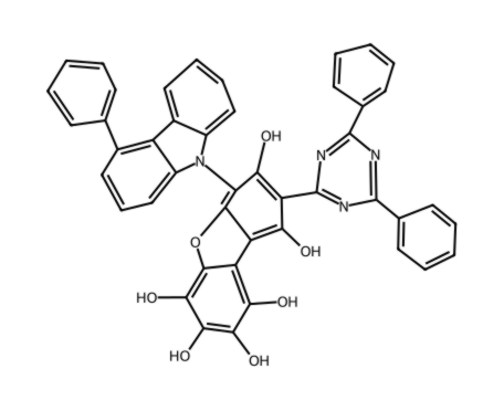 Oc1c(O)c(O)c2c(oc3c(-n4c5ccccc5c5c(-c6ccccc6)cccc54)c(O)c(-c4nc(-c5ccccc5)nc(-c5ccccc5)n4)c(O)c32)c1O